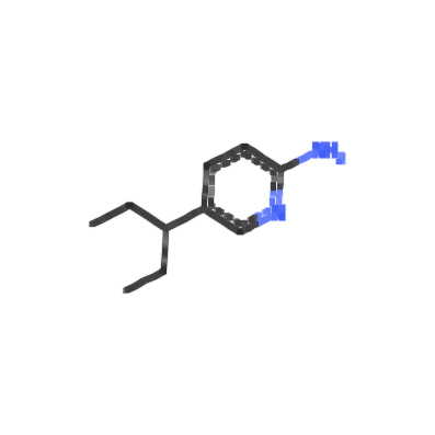 CCC(CC)c1ccc(N)nc1